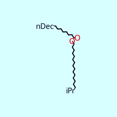 CCCCCCCCCCCCCCCCCC(=O)OCCCCCCCCCCCCCCCC(C)C